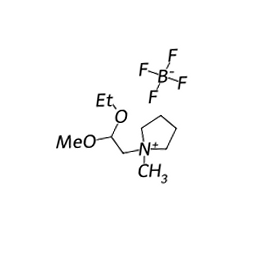 CCOC(C[N+]1(C)CCCC1)OC.F[B-](F)(F)F